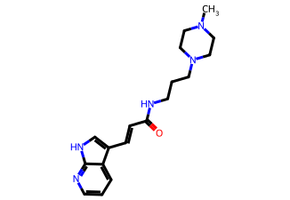 CN1CCN(CCCNC(=O)C=Cc2c[nH]c3ncccc23)CC1